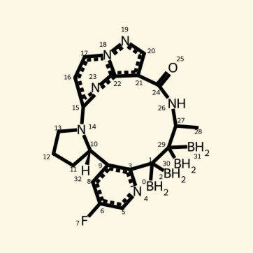 BC1(B)c2ncc(F)cc2[C@@H]2CCCN2c2ccn3ncc(c3n2)C(=O)NC(C)C1(B)B